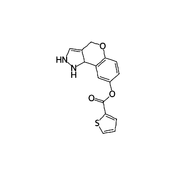 O=C(Oc1ccc2c(c1)C1NNC=C1CO2)c1cccs1